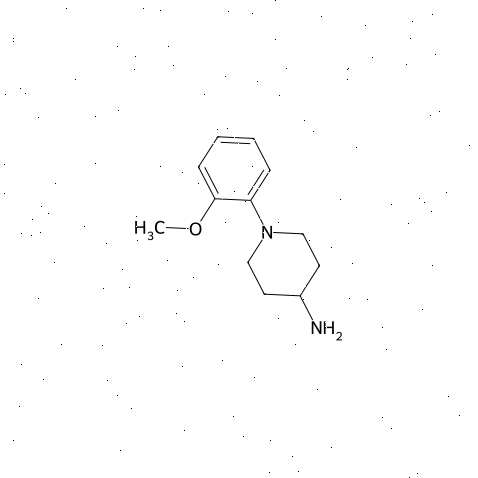 COc1ccccc1N1CCC(N)CC1